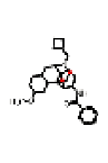 COC1CCC2CC3N(CC4CCC4)CCC4(C2C1)C1CCC34CCC1NC(=O)c1ccccc1